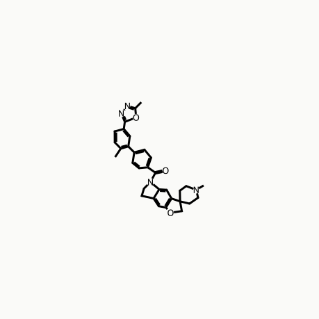 Cc1nnc(-c2ccc(C)c(-c3ccc(C(=O)N4CCc5cc6c(cc54)C4(CCN(C)CC4)CO6)cc3)c2)o1